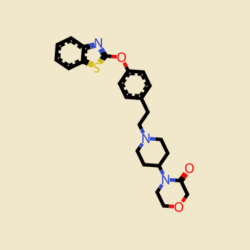 O=C1COCCN1C1CCN(CCc2ccc(Oc3nc4ccccc4s3)cc2)CC1